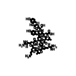 CC(C)C[C@H](NC(=O)[C@@H]1CCCN1C(=O)[C@H](CC(C)C)NC(=O)[C@H](CCCNC(=N)N)NC(=O)[C@H](CCCCN)NC(=O)[C@@H](NC(=O)[C@@H](N)CCCNC(=N)N)C(C)C)C(=O)N[C@@H](CCC(=O)O)C(=O)N[C@@H](Cc1ccc(O)cc1)C(=O)N[C@@H](CO)C(=O)N[C@@H](Cc1ccc(O)cc1)C(=O)O